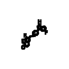 O=C1CCc2cc(CCN3CCC(c4c[nH]c5ccc(F)cc45)CC3)c(F)c3c2N1CC3